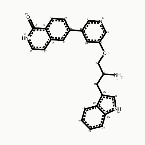 NC(COc1cncc(-c2ccc3c(=O)[nH]ccc3c2)c1)Cc1c[nH]c2ccccc12